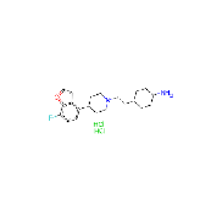 Cl.Cl.NC1CCC(CCN2CCC(c3ccc(F)c4occc34)CC2)CC1